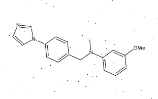 COc1cccc(N(C)Cc2ccc(-n3ccnc3)cc2)c1